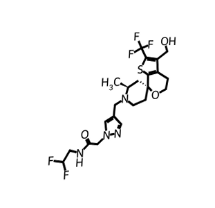 C[C@H]1C[C@@]2(CCN1Cc1cnn(CC(=O)NCC(F)F)c1)OCCc1c2sc(C(F)(F)F)c1CO